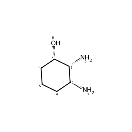 N[C@@H]1[C@H](N)CCC[C@@H]1O